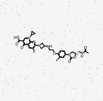 CC(=O)NC[C@H]1CN(c2ccc(OCCNC3CN(c4nc5c(cc4F)c(=O)c(C(=O)O)cn5C4CC4)C3)c(F)c2)C(=O)O1